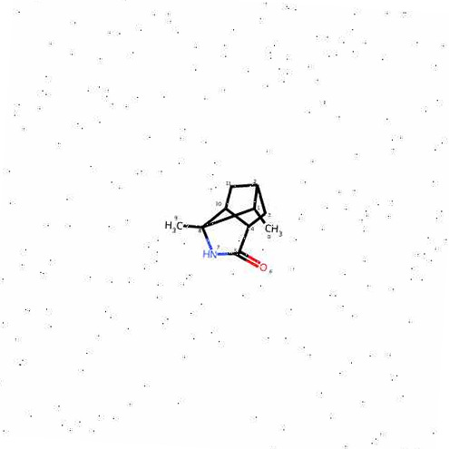 CC1C2CC3C(=O)NC1(C)C3C2